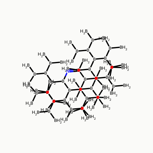 BB(B)B(B)B(B(B(B)B)B(B)B)B(B(/N=B/B(B(B(B(B)B)B(B)B)B(B(B)B)B(B)B)B(B(B(B)B)B(B)B)B(B(B)B)B(B)B)B(B(B(B)B)B(B)B)B(B(B)B)B(B)B)B(B(B(B)B)B(B)B)B(B(B)B)B(B)B